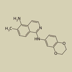 Cc1ccc2c(Nc3ccc4c(c3)OCCO4)nccc2c1N